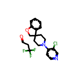 Clc1cnccc1N1CCC2(CC1)COc1ccccc12.O=CCC(F)(F)F